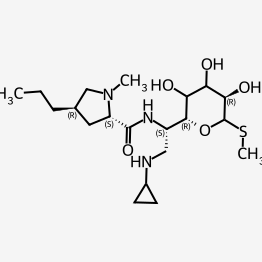 CCC[C@@H]1C[C@@H](C(=O)N[C@@H](CNC2CC2)[C@H]2OC(SC)[C@H](O)C(O)C2O)N(C)C1